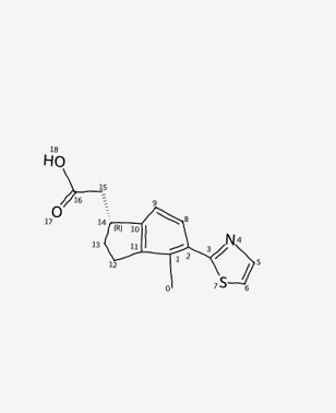 Cc1c(-c2nccs2)ccc2c1CC[C@@H]2CC(=O)O